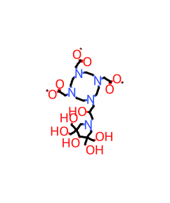 COC(=O)CN1CCN(CC(=O)OC)CCN(CC(O)CN2CC(CO)(CO)C(O)C(CO)(CO)C2)CCN(CC(=O)OC)CC1